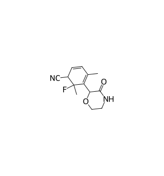 CC1=C(C2OCCNC2=O)C(C)(F)C(C#N)C=C1